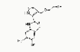 Cc1cc(NC(=O)c2[nH]ncc2COCCO)c(F)cc1Br